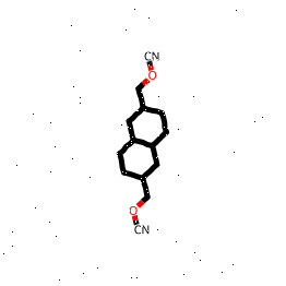 N#COCC1CCC2CC(COC#N)CCC2C1